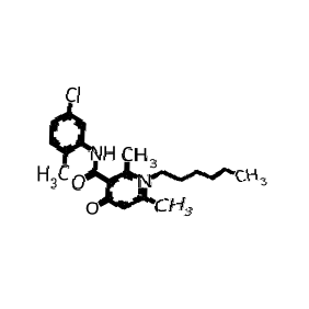 CCCCCCn1c(C)cc(=O)c(C(=O)Nc2cc(Cl)ccc2C)c1C